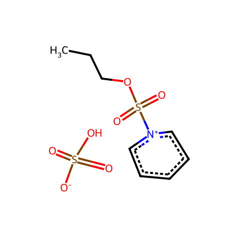 CCCOS(=O)(=O)[n+]1ccccc1.O=S(=O)([O-])O